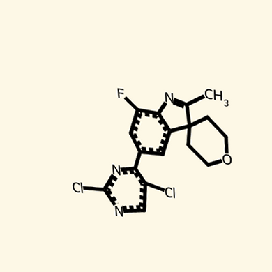 CC1=Nc2c(F)cc(-c3nc(Cl)ncc3Cl)cc2C12CCOCC2